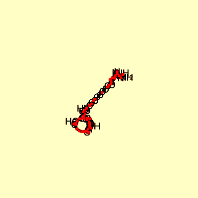 CO[C@H]1C[C@@H]2CC[C@@H](C)[C@@](O)(O2)C(=O)C(=O)N2CCCC[C@H]2C(=O)O[C@H]([C@H](C)C[C@@H]2CC[C@@H](OC(=O)NCCOCCOCCOCCOCCOCCOCCOCCOCCC(=O)N3CCc4cc(Cn5nc(-c6cnc7[nH]ccc7c6)c6c(N)ncnc65)ccc4C3)[C@H](OC)C2)CC[C@H](C)/C=C(\C)[C@@H](O)[C@@H](OC)C(=O)[C@H](C)C[C@H](C)/C=C/C=C/C=C/1C